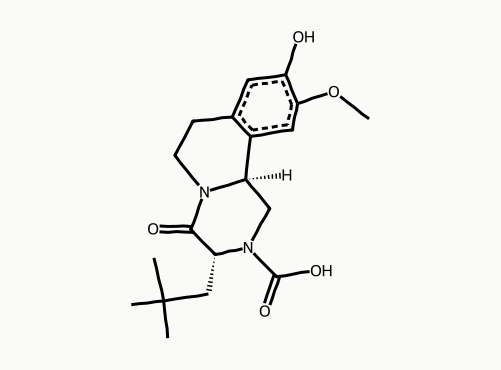 COc1cc2c(cc1O)CCN1C(=O)[C@@H](CC(C)(C)C)N(C(=O)O)C[C@H]21